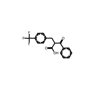 O=C(O)C(Cc1ccc(C(F)(F)F)cc1)C(=O)c1ccccc1